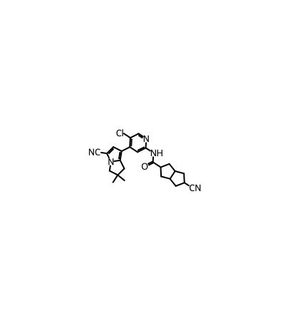 CC1(C)Cc2c(-c3cc(NC(=O)C4CC5CC(C#N)CC5C4)ncc3Cl)cc(C#N)n2C1